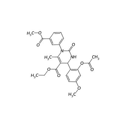 CCOC(=O)C1=C(C)N(c2cccc(C(=O)OC)c2)C(=O)NC1c1ccc(OC)cc1OC(C)=O